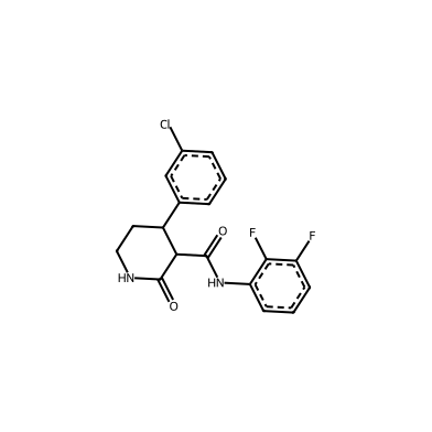 O=C1NCCC(c2cccc(Cl)c2)C1C(=O)Nc1cccc(F)c1F